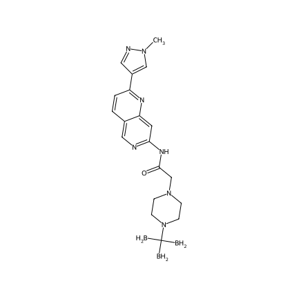 BC(B)(B)N1CCN(CC(=O)Nc2cc3nc(-c4cnn(C)c4)ccc3cn2)CC1